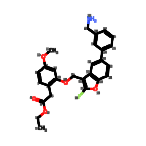 CCOC(=O)Cc1ccc(OC)cc1OCc1c(F)oc2ccc(-c3cccc(CN)c3)cc12